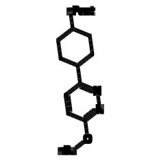 CCCCCC1CCC(c2ccc(OCCCC)nn2)CC1